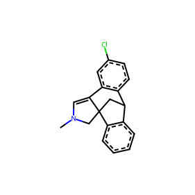 CN1C=C2c3cc(Cl)ccc3C3CC2(C1)c1ccccc13